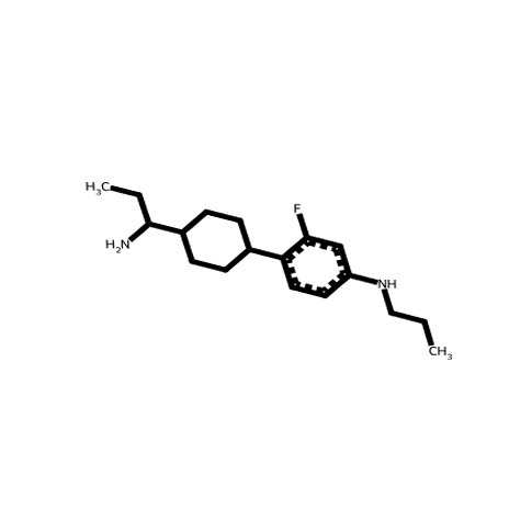 CCCNc1ccc(C2CCC(C(N)CC)CC2)c(F)c1